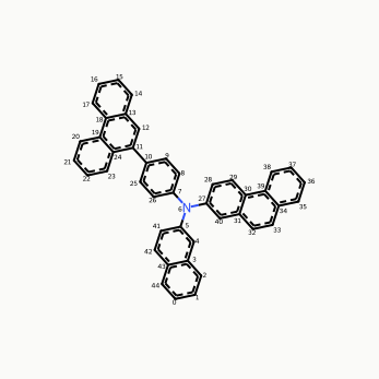 c1ccc2cc(N(c3ccc(-c4cc5ccccc5c5ccccc45)cc3)c3ccc4c(ccc5ccccc54)c3)ccc2c1